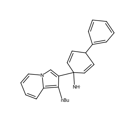 CCCCc1c(C2([NH])C=CC(c3ccccc3)C=C2)cn2ccccc12